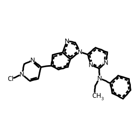 CCN(c1ccccc1)c1nccc(-n2cnc3cc(C4=NCN(Cl)C=C4)ccc32)n1